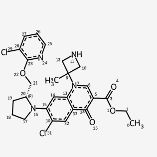 CCOC(=O)c1cn(C2(C)CNC2)c2cc(N3CCC[C@@H]3COc3ncccc3Cl)c(Cl)cc2c1=O